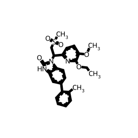 CCOc1nc(C(CS(C)(=O)=O)n2c(=O)[nH]c3cc(-c4ccccc4C)ccc32)ccc1OC